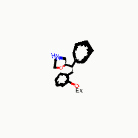 CCOc1ccccc1C[C@@H](c1ccccc1)[C@@H]1CNCCO1